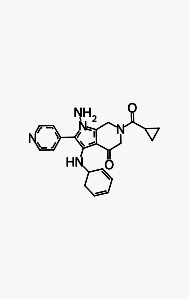 Nn1c2c(c(NC3C=CC=CC3)c1-c1ccncc1)C(=O)CN(C(=O)C1CC1)C2